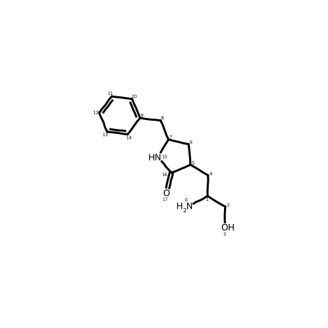 NC(CO)CC1CC(Cc2ccccc2)NC1=O